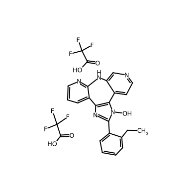 CCc1ccccc1-c1nc2c(n1O)-c1ccncc1Nc1ncccc1-2.O=C(O)C(F)(F)F.O=C(O)C(F)(F)F